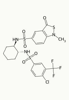 Cn1sc(=O)c2cc(S(=O)(=O)N[C@@H]3CCCC[C@H]3NS(=O)(=O)c3ccc(Cl)c(C(F)(F)F)c3)ccc21